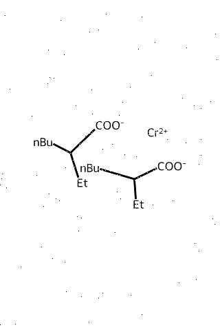 CCCCC(CC)C(=O)[O-].CCCCC(CC)C(=O)[O-].[Cr+2]